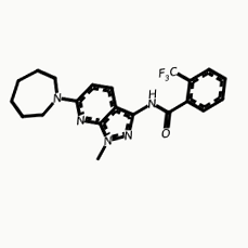 Cn1nc(NC(=O)c2ccccc2C(F)(F)F)c2ccc(N3CCCCCC3)nc21